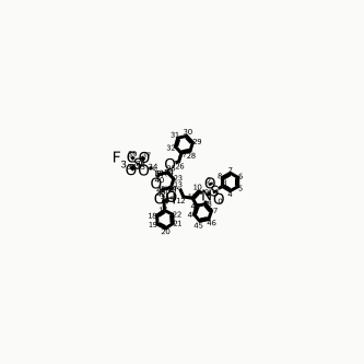 O=S(=O)(c1ccccc1)n1cc(CC[C@@]2(OCc3ccccc3)C[C@H](OCc3ccccc3)[C@@H](COS(=O)(=O)C(F)(F)F)O[C@H]2O)c2ccccc21